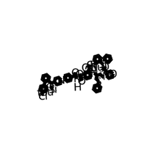 CC(C)(C)[Si](C)(C)O[C@@H](c1ccccc1-c1ccc(Cl)cc1)C1CCN(c2ccc(C(=O)NS(=O)(=O)c3ccc(NC(CCN4CCOCC4CO[Si](c4ccccc4)(c4ccccc4)C(C)(C)C)CSc4ccccc4)c(S(=O)(=O)C(F)(F)F)c3)cc2)CC1